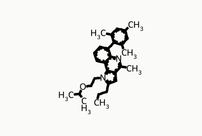 CCCc1cc2c(C)nc3c(-c4c(C)cc(C)cc4C)cccc3c2n1CCOC(C)C